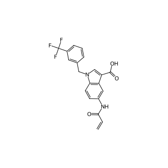 C=CC(=O)Nc1ccc2c(c1)c(C(=O)O)cn2Cc1cccc(C(F)(F)F)c1